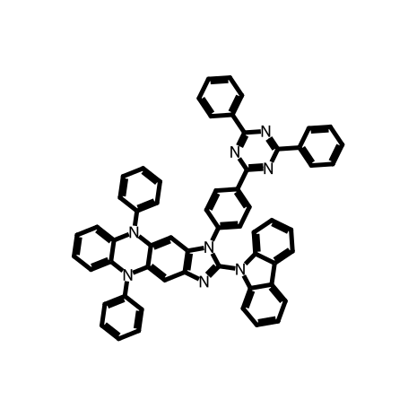 c1ccc(-c2nc(-c3ccccc3)nc(-c3ccc(-n4c(-n5c6ccccc6c6ccccc65)nc5cc6c(cc54)N(c4ccccc4)c4ccccc4N6c4ccccc4)cc3)n2)cc1